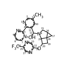 Cc1cnc(-c2ncccn2)c(C(O)N2CC3CC34CC(Oc3cnc(C(F)(F)F)cn3)C24)c1